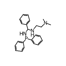 CN(C)CCNC(NP(c1ccccc1)c1ccccc1)c1ccccc1